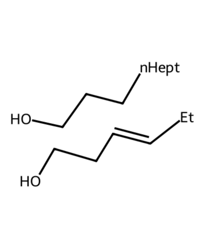 CCC=CCCO.CCCCCCCCCCO